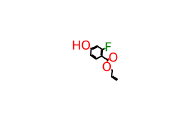 C=CCOC(=O)c1ccc(O)cc1F